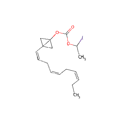 CC/C=C\C/C=C\C/C=C\C12CC1(OC(=O)OC(C)I)C2